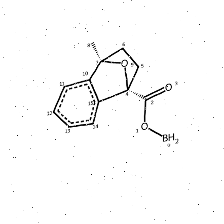 BOC(=O)[C@@]12CC[C@@](C)(O1)c1ccccc12